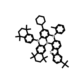 Cc1ccccc1N1c2cc(C3CCCCC3)cc3c2B(c2cc4c(cc2N3c2ccc3c(c2)C(C)(C)CCC3(C)C)C(C)(C)CCC4(C)C)c2c1ccc1c2sc2ccc(C(C)(C)C)cc21